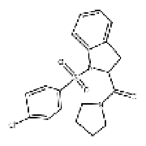 O=C(C1Cc2ccccc2N1S(=O)(=O)c1ccc(Cl)cc1)N1CCCC1